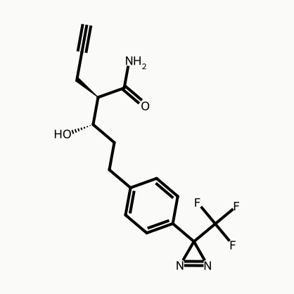 C#CC[C@@H](C(N)=O)[C@@H](O)CCc1ccc(C2(C(F)(F)F)N=N2)cc1